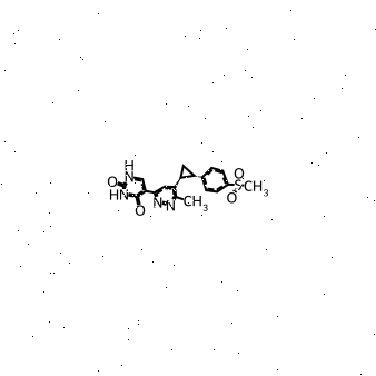 Cc1nnc(-c2c[nH]c(=O)[nH]c2=O)cc1[C@H]1C[C@@H]1c1ccc(S(C)(=O)=O)cc1